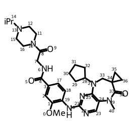 COc1cc(C(=O)NCC(=O)N2CCN(C(C)C)CC2)ccc1Nc1ncc2c(n1)N(C1CCCC1)CC1(CC1)C(=O)N2C